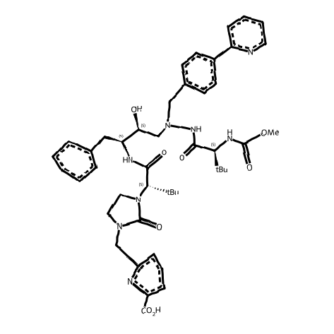 COC(=O)N[C@H](C(=O)NN(Cc1ccc(-c2ccccn2)cc1)C[C@H](O)[C@H](Cc1ccccc1)NC(=O)[C@@H](N1CCN(Cc2cccc(C(=O)O)n2)C1=O)C(C)(C)C)C(C)(C)C